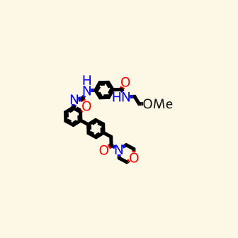 COCCNC(=O)c1ccc(Nc2nc3cccc(-c4ccc(CC(=O)N5CCOCC5)cc4)c3o2)cc1